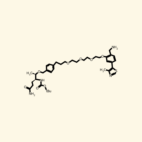 Cc1ncsc1-c1ccc(CN)c(OCCOCCOCCOCCCc2ccc(CO[C@H](C)[C@H](CCC(N)=O)NC(=O)OC(C)(C)C)cc2)c1